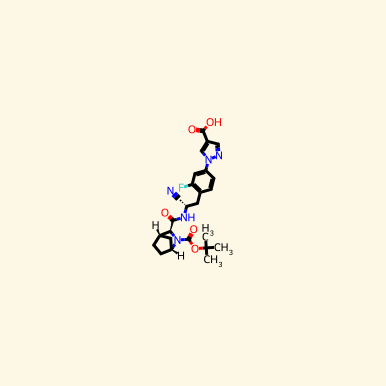 CC(C)(C)OC(=O)N1[C@@H]2CC[C@@H](C2)[C@H]1C(=O)N[C@H](C#N)Cc1ccc(-n2cc(C(=O)O)cn2)cc1F